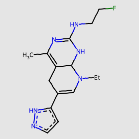 CCN1C=C(c2ccn[nH]2)CC2=C(C)N=C(NCCF)NC21